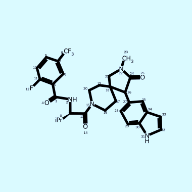 CC(C)[C@@H](NC(=O)c1cc(C(F)(F)F)ccc1F)C(=O)N1CCC2(CC1)CN(C)C(=O)C2c1ccc2[nH]ccc2c1